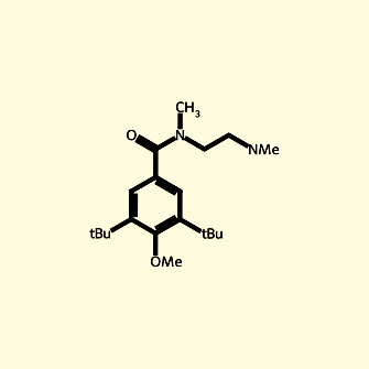 CNCCN(C)C(=O)c1cc(C(C)(C)C)c(OC)c(C(C)(C)C)c1